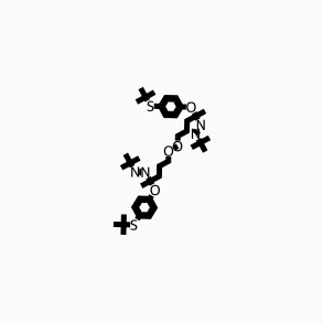 CC(C)(C)N=NC(C)(CCCOOCCCC(C)(N=NC(C)(C)C)Oc1ccc(SC(C)(C)C)cc1)Oc1ccc(SC(C)(C)C)cc1